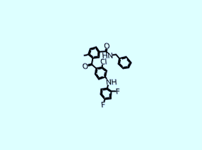 Cc1ccc(C(=O)NCc2ccccc2)cc1C(=O)c1ccc(Nc2ccc(F)cc2F)cc1Cl